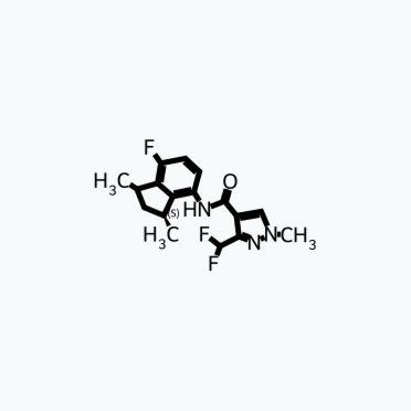 CC1C[C@H](C)c2c(NC(=O)c3cn(C)nc3C(F)F)ccc(F)c21